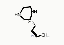 C/C=C\C[C@@H]1CNCCN1